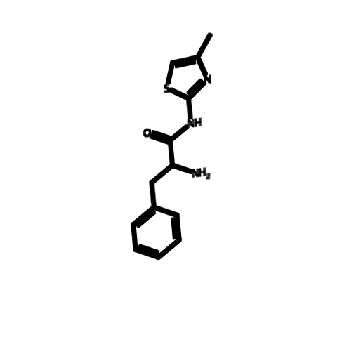 Cc1csc(NC(=O)C(N)Cc2ccccc2)n1